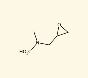 CN(CC1CO1)C(=O)O